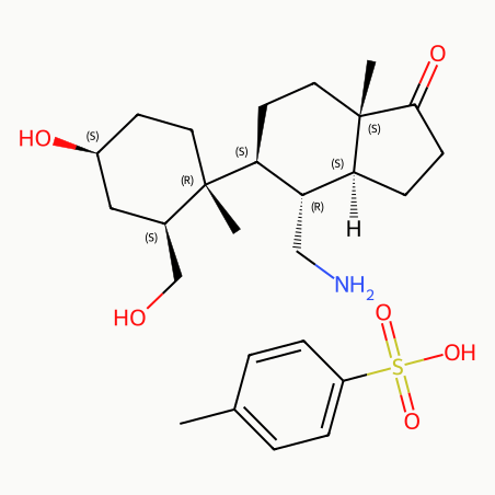 C[C@]1([C@H]2CC[C@]3(C)C(=O)CC[C@H]3[C@@H]2CN)CC[C@H](O)C[C@@H]1CO.Cc1ccc(S(=O)(=O)O)cc1